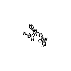 CN1CCN(c2cc(NC3CC=C(C#N)S3)nc(Cc3ccc(NC(=O)c4cnccc4F)cc3)n2)CC1